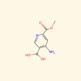 COC(=O)c1cc(N)c(B(O)O)cn1